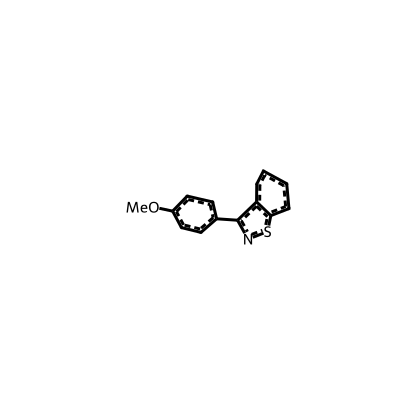 COc1ccc(-c2nsc3ccccc23)cc1